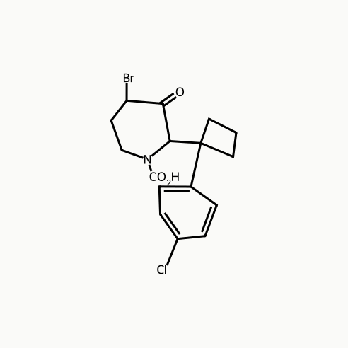 O=C1C(Br)CCN(C(=O)O)C1C1(c2ccc(Cl)cc2)CCC1